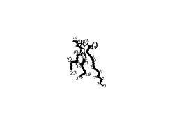 CCCCCCCC(C(=O)O)[N+](CCCC)(CCCC)CCCC